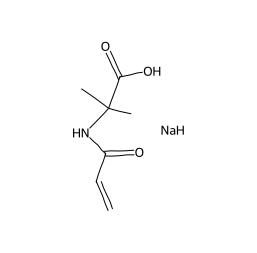 C=CC(=O)NC(C)(C)C(=O)O.[NaH]